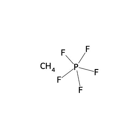 C.FP(F)(F)(F)F